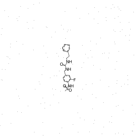 CS(=O)(=O)Nc1ccc(CNC(=O)NCCc2ccccc2)cc1F